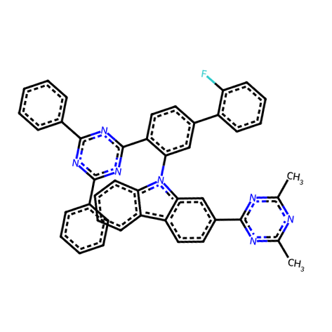 Cc1nc(C)nc(-c2ccc3c4ccccc4n(-c4cc(-c5ccccc5F)ccc4-c4nc(-c5ccccc5)nc(-c5ccccc5)n4)c3c2)n1